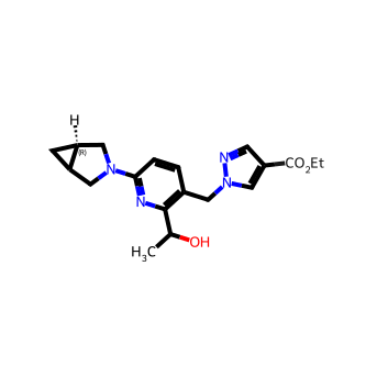 CCOC(=O)c1cnn(Cc2ccc(N3CC4C[C@H]4C3)nc2C(C)O)c1